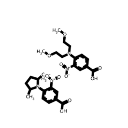 CC1CCC(C)N1c1ccc(C(=O)O)cc1[N+](=O)[O-].COCCN(CCOC)c1ccc(C(=O)O)cc1[N+](=O)[O-]